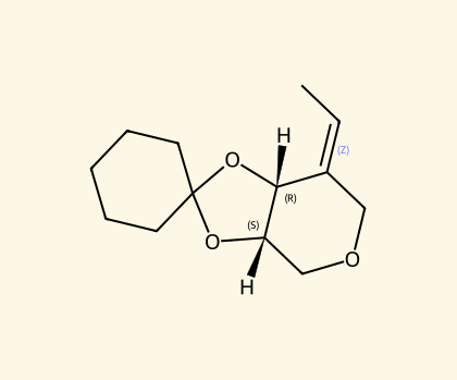 C/C=C1/COC[C@@H]2OC3(CCCCC3)O[C@H]12